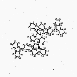 c1ccc2c(c1)B1c3c(c4cccc5c6c(c7cccc3c7c54)-n3c4ccc(-n5c7ccccc7c7ccccc75)cc4c4ccc5c(c43)B6c3ccccc3-5)-n3c4ccc(-n5c6ccccc6c6ccccc65)cc4c4ccc-2c1c43